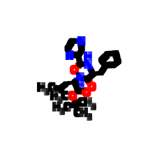 CC(C)C[C@H](NC(=O)[C@H](Cc1ccccc1)NC(=O)c1cnccn1)C(=O)OC(C)(C)C